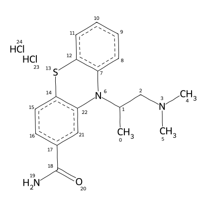 CC(CN(C)C)N1c2ccccc2Sc2ccc(C(N)=O)cc21.Cl.Cl